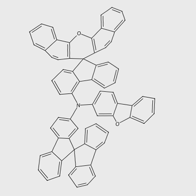 c1ccc2c(c1)-c1ccccc1C21c2ccccc2-c2ccc(N(c3ccc4c(c3)oc3ccccc34)c3cccc4c3-c3ccccc3C43c4ccc5ccccc5c4Oc4c3ccc3ccccc43)cc21